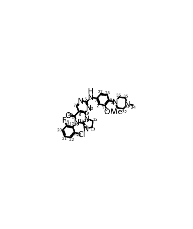 COc1cc(Nc2ncc3c(n2)N2CCN=C2N(c2c(F)cccc2Cl)C3=O)ccc1N1CCN(C)CC1